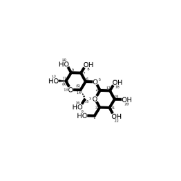 OCC1OC(OC2C(O)C(O)[C@H](O)O[C@H]2CO)C(O)C(O)C1O